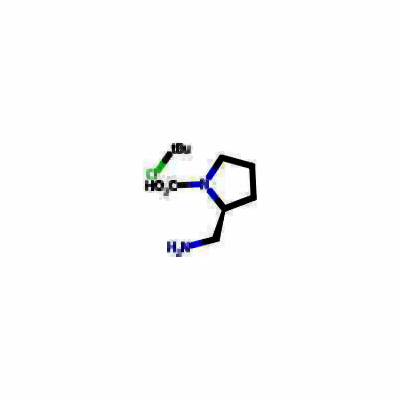 CC(C)(C)Cl.NC[C@@H]1CCCN1C(=O)O